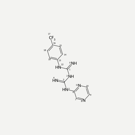 N=C(NC(=N)Nc1cnccn1)Nc1ccc(C(F)(F)F)cc1